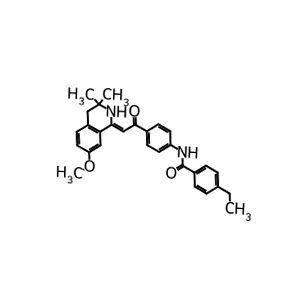 CCc1ccc(C(=O)Nc2ccc(C(=O)C=C3NC(C)(C)Cc4ccc(OC)cc43)cc2)cc1